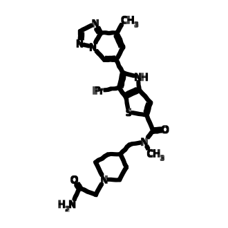 Cc1cc(-c2[nH]c3cc(C(=O)N(C)CC4CCN(CC(N)=O)CC4)sc3c2C(C)C)cn2ncnc12